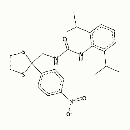 CC(C)c1cccc(C(C)C)c1NC(=O)NCC1(c2ccc([N+](=O)[O-])cc2)SCCS1